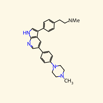 CNCCc1ccc(-c2c[nH]c3ncc(-c4ccc(N5CCN(C)CC5)cc4)cc23)cc1